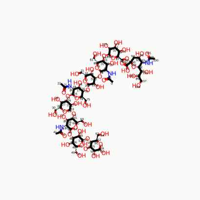 CC(=O)N[C@H]1[C@H](O[C@H]2[C@@H](O)[C@@H](CO)O[C@@H](O[C@H]3[C@H](O)[C@@H](NC(C)=O)[C@H](O[C@H]4[C@@H](O)[C@@H](CO)O[C@@H](O[C@H]5[C@H](O)[C@@H](NC(C)=O)[C@H](O[C@H]6[C@@H](O)[C@@H](CO)O[C@@H](O[C@H]7[C@H](O)[C@@H](O)[C@H](O)O[C@@H]7CO)[C@@H]6O)O[C@@H]5CO)[C@@H]4O)O[C@@H]3CO)[C@@H]2O)O[C@H](CO)[C@@H](O[C@@H]2O[C@H](CO[C@]3(C(=O)O)C[C@H](O)[C@@H](NC(C)=O)[C@H]([C@H](O)[C@H](O)CO)O3)[C@H](O)[C@H](O)[C@H]2O)[C@@H]1O